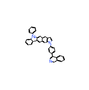 c1ccc(-n2c3ccccc3c3cc4cc5c(ccn5-c5ccc(-c6cncc7ccccc67)cc5)cc4cc32)cc1